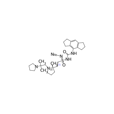 CC(C)(CN1CCC[C@@]1(C)/C=C/S(=O)(=NC#N)NC(=O)Nc1c2c(cc3c1CCC3)CCC2)N1CCCC1